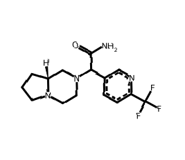 NC(=O)C(c1ccc(C(F)(F)F)nc1)N1CCN2CCC[C@@H]2C1